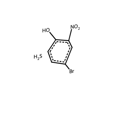 O=[N+]([O-])c1cc(Br)ccc1O.S